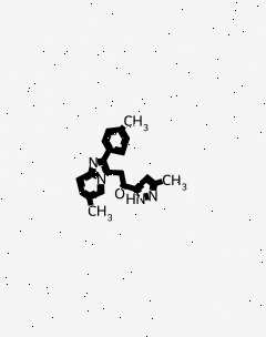 Cc1ccc(-c2nc3ccc(C)cn3c2CC(=O)c2cc(C)n[nH]2)cc1